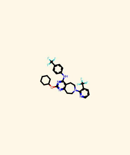 FC(F)(F)c1ccc(Nc2nc(OC3CCCCC3)nc3c2CCN(c2ncccc2C(F)(F)F)CC3)cc1